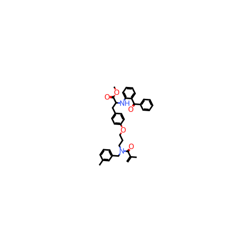 C=C(C)C(=O)N(CCCOc1ccc(CC(Nc2ccccc2C(=O)c2ccccc2)C(=O)OC)cc1)Cc1cccc(C)c1